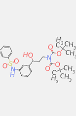 CC(C)(C)OC(=O)N(CCC(O)c1cccc(NS(=O)(=O)c2ccccc2)c1)C(=O)OC(C)(C)C